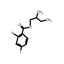 CCC(C)COC(=O)c1ccc(I)cc1F